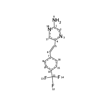 Nc1cnc(C=Cc2ccc(C(F)(F)F)cc2)cn1